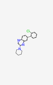 Clc1ccccc1-c1ccc2ncc(N3CCCCC3)nc2c1